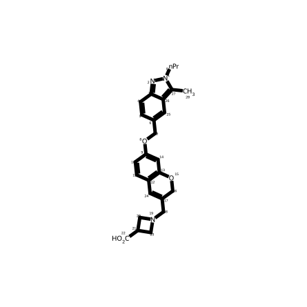 CCCn1nc2ccc(COc3ccc4c(c3)OCC(CN3CC(C(=O)O)C3)=C4)cc2c1C